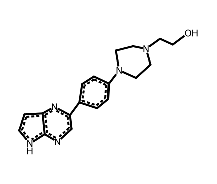 OCCN1CCN(c2ccc(-c3cnc4[nH]ccc4n3)cc2)CC1